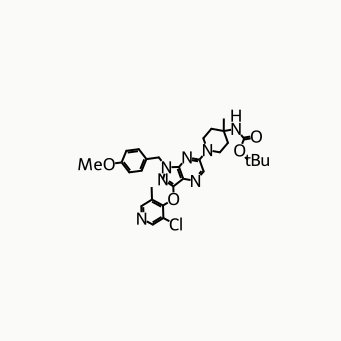 COc1ccc(Cn2nc(Oc3c(C)cncc3Cl)c3ncc(N4CCC(C)(NC(=O)OC(C)(C)C)CC4)nc32)cc1